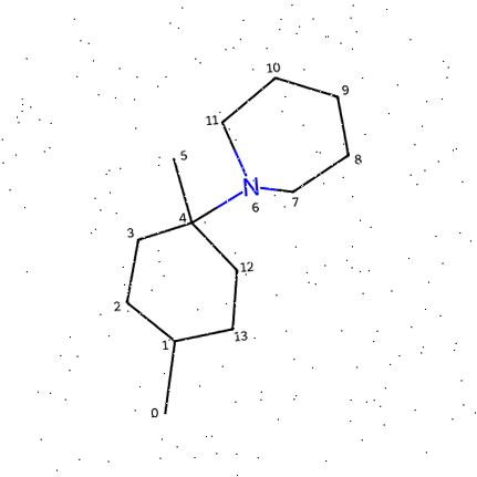 CC1CCC(C)(N2CCCCC2)CC1